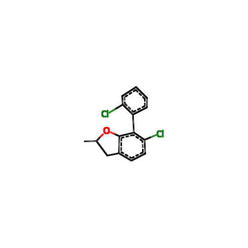 CC1Cc2ccc(Cl)c(-c3ccccc3Cl)c2O1